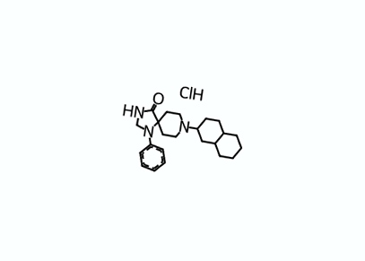 Cl.O=C1NCN(c2ccccc2)C12CCN(C1CCC3CCCCC3C1)CC2